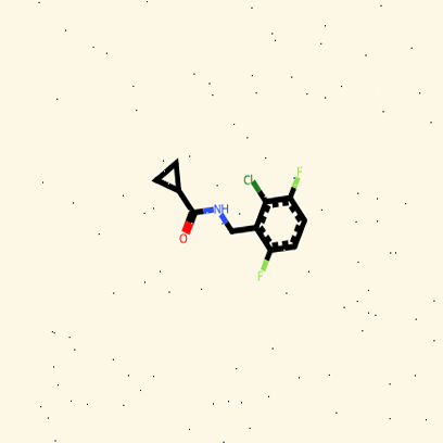 O=C(NCc1c(F)ccc(F)c1Cl)C1CC1